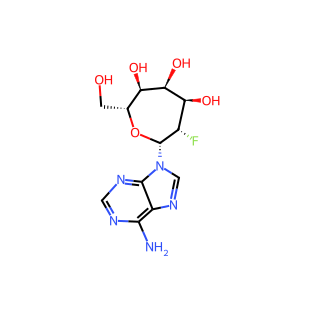 Nc1ncnc2c1ncn2[C@@H]1O[C@H](CO)[C@@H](O)[C@@H](O)[C@@H](O)[C@@H]1F